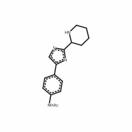 CC(=O)Nc1ccc(-c2csc(C3CCCCN3)n2)cc1